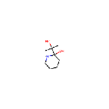 CC(C)(O)C1(O)CCCC[N]1